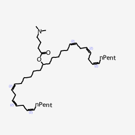 CCCCC/C=C\C/C=C\C/C=C\CCCCCC(CCCCC/C=C\C/C=C\C/C=C\CCCCC)OC(=O)CCCN(C)C